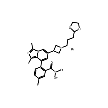 CCN(C(=O)c1cc(F)ccc1-c1cc(C2CN([C@H](CCC3OCCO3)C(C)C)C2)cn2c(C)nc(F)c12)C(C)C